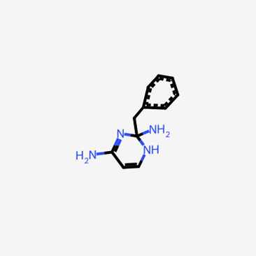 NC1=NC(N)(Cc2ccccc2)NC=C1